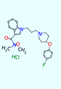 CON(C)C(=O)c1cn(CCCN2CCC(Oc3ccc(F)cc3)CC2)c2ccccc12.Cl